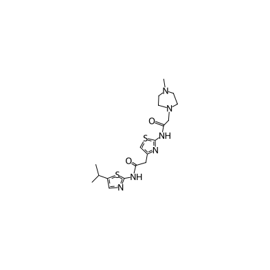 CC(C)c1cnc(NC(=O)Cc2csc(NC(=O)CN3CCN(C)CC3)n2)s1